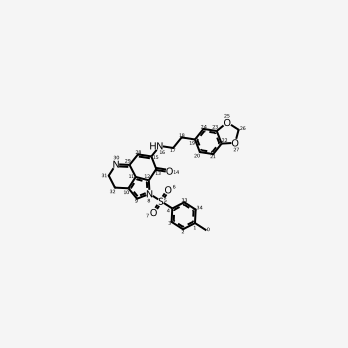 Cc1ccc(S(=O)(=O)n2cc3c4c2C(=O)C(NCCc2ccc5c(c2)OCO5)=CC4=NCC3)cc1